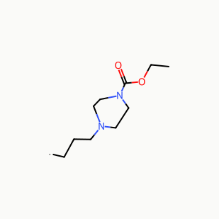 [CH2]CCCN1CCN(C(=O)OCC)CC1